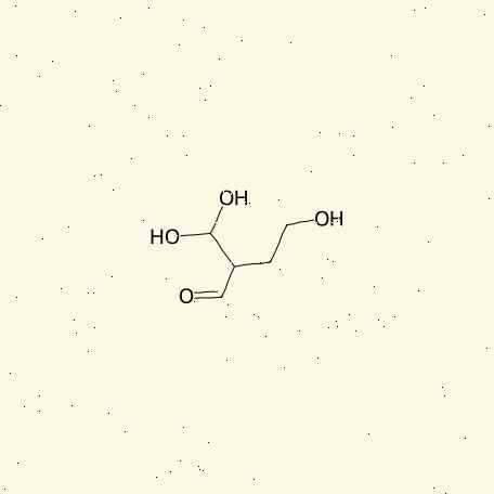 O=CC(CCO)C(O)O